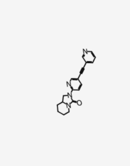 O=C1N(c2ccc(C#Cc3cccnc3)cn2)CC2CCCCN12